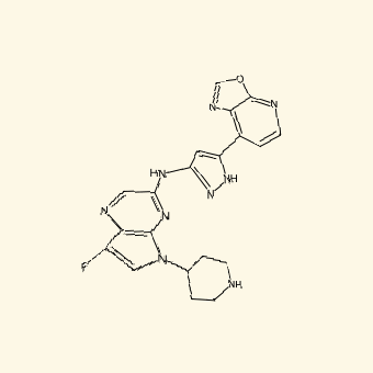 Fc1cn(C2CCNCC2)c2nc(Nc3cc(-c4ccnc5ocnc45)[nH]n3)cnc12